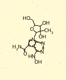 CC1(O)C(O)C(CO)OC1n1cc(C(N)=O)c2c(NO)ncnc21